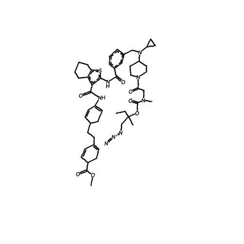 CCC(C)(CN=[N+]=[N-])OC(=O)N(C)CC(=O)N1CCC(N(Cc2cccc(C(=O)Nc3sc4c(c3C(=O)NC3=CCC(CCC5=CCC(C(=O)OC)C=C5)C=C3)CCCC4)c2)C2CC2)CC1